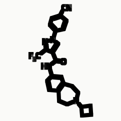 N#Cc1ccc(-n2cc(C(=O)Nc3ccc4c(c3)CCN(C3CCC3)CC4)c(C(F)(F)F)n2)cc1